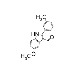 COc1ccc2[nH]c(-c3cccc(C)c3)c(C=O)c2c1